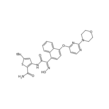 CC(C)(C)c1cc(NC(=O)/C(=N\O)c2ccc(Oc3ccnc(N4CCOCC4)n3)c3ccccc23)c(C(N)=O)s1